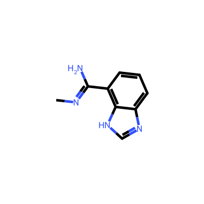 CN=C(N)c1cccc2nc[nH]c12